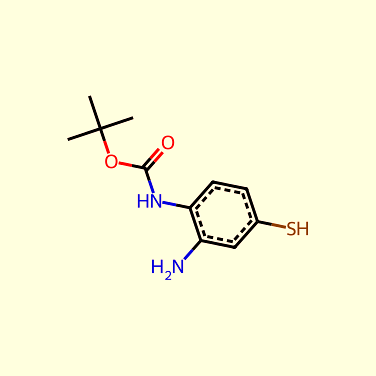 CC(C)(C)OC(=O)Nc1ccc(S)cc1N